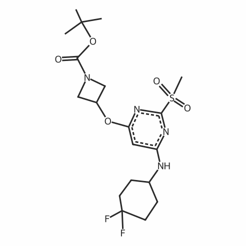 CC(C)(C)OC(=O)N1CC(Oc2cc(NC3CCC(F)(F)CC3)nc(S(C)(=O)=O)n2)C1